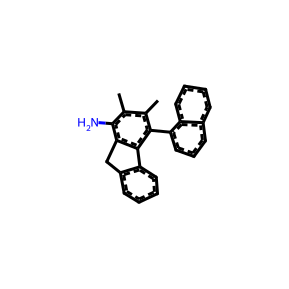 Cc1c(C)c(-c2cccc3ccccc23)c2c(c1N)Cc1ccccc1-2